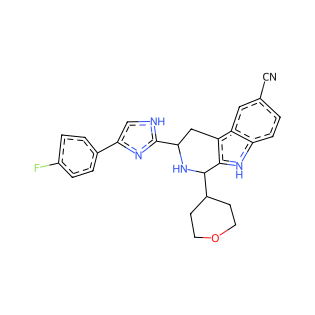 N#Cc1ccc2[nH]c3c(c2c1)CC(c1nc(-c2ccc(F)cc2)c[nH]1)NC3C1CCOCC1